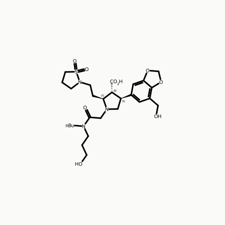 CCCCN(CCCO)C(=O)CN1C[C@H](c2cc(CO)c3c(c2)OCO3)[C@@H](C(=O)O)[C@@H]1CCN1CCCS1(=O)=O